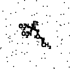 C=COCC(CC)([N+](=O)[O-])[N+](=O)[O-]